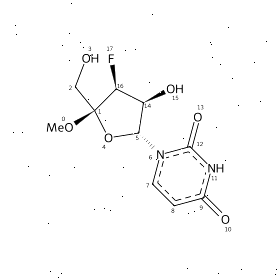 CO[C@]1(CO)O[C@@H](n2ccc(=O)[nH]c2=O)[C@H](O)[C@@H]1F